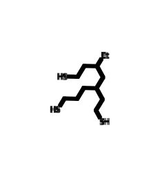 CCC(CCS)CC(CCS)CCCS